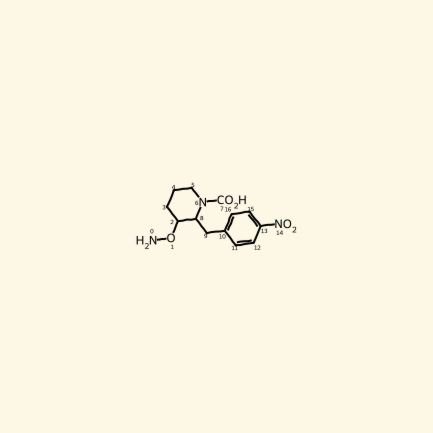 NOC1CCCN(C(=O)O)C1Cc1ccc([N+](=O)[O-])cc1